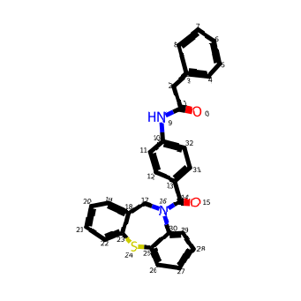 O=C(Cc1ccccc1)Nc1ccc(C(=O)N2Cc3ccccc3Sc3ccccc32)cc1